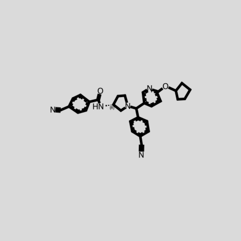 N#Cc1ccc(C(=O)N[C@@H]2CCN(C(c3ccc(C#N)cc3)c3ccc(OC4CCCC4)nc3)C2)cc1